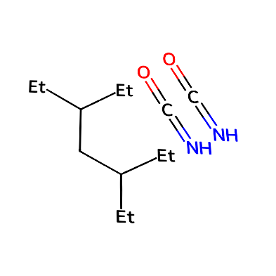 CCC(CC)CC(CC)CC.N=C=O.N=C=O